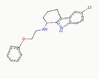 Clc1ccc2[nH]c3c(c2c1)CCCC3NCCOc1ccccc1